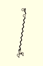 CO[SiH](CCCCCCCCCCCCCCCCOCC1CO1)OC